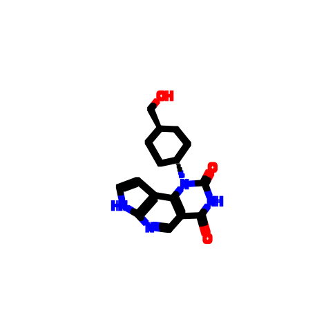 O=c1[nH]c(=O)n([C@H]2CC[C@H](CO)CC2)c2c1cnc1[nH]ccc12